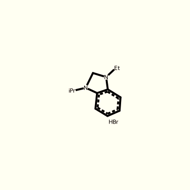 Br.CCN1CN(C(C)C)c2ccccc21